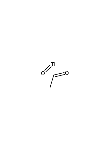 CC=O.[O]=[Ti]